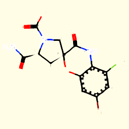 NC(=O)[C@@H]1C[C@]2(CN1C(=O)O)Oc1cc(Br)cc(F)c1NC2=O